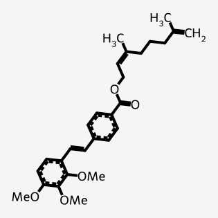 C=C(C)CCCC(C)=CCOC(=O)c1ccc(C=Cc2ccc(OC)c(OC)c2OC)cc1